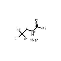 FC(F)(F)CNC(=S)[S-].[Na+]